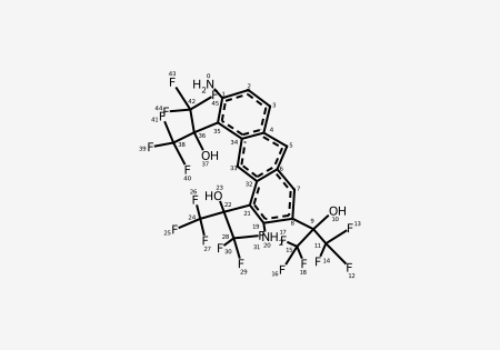 Nc1ccc2cc3cc(C(O)(C(F)(F)F)C(F)(F)F)c(N)c(C(O)(C(F)(F)F)C(F)(F)F)c3cc2c1C(O)(C(F)(F)F)C(F)(F)F